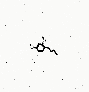 [CH2]CCCc1ccc(OC)cc1OC